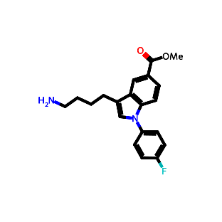 COC(=O)c1ccc2c(c1)c(CCCCN)cn2-c1ccc(F)cc1